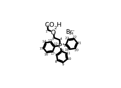 O=C(O)COCC[P+](c1ccccc1)(c1ccccc1)c1ccccc1.[Br-]